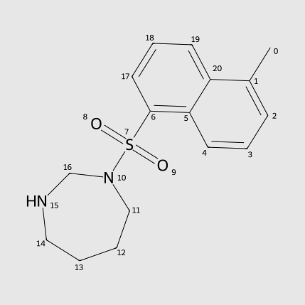 Cc1cccc2c(S(=O)(=O)N3CCCCNC3)cccc12